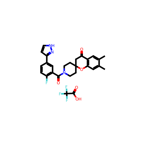 Cc1cc2c(cc1C)C(=O)CC1(CCN(C(=O)c3cc(-c4cc[nH]n4)ccc3F)CC1)O2.O=C(O)C(F)(F)F